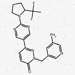 CC(F)(F)C1CCCN1c1ncc(-c2ccc(=O)n(Cc3cncc(P)c3)n2)cn1